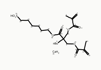 C=C(C)C(=O)OCC(CCCC)(COC(=O)C(=C)C)C(=O)OCCCCCCS(=O)(=O)O.[CaH2]